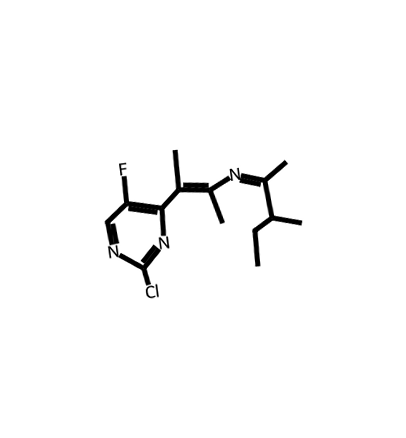 CCC(C)/C(C)=N\C(C)=C(/C)c1nc(Cl)ncc1F